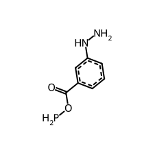 NNc1cccc(C(=O)OP)c1